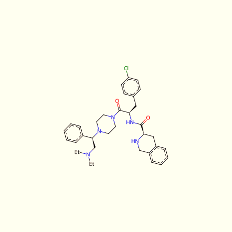 CCN(CC)C[C@@H](c1ccccc1)N1CCN(C(=O)[C@@H](Cc2ccc(Cl)cc2)NC(=O)[C@H]2Cc3ccccc3CN2)CC1